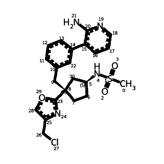 CS(=O)(=O)N[C@H]1CC[C@](Cc2cccc(-c3cccnc3N)c2)(c2nc(CCl)co2)C1